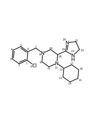 Clc1ccccc1CN1CCN(C2CCCCC2)C(C2=NCCN2)C1